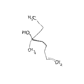 C=CCC(C)(O)CC